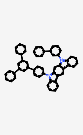 c1ccc(-c2cc(-c3ccccc3)cc(-c3ccc(-n4c5ccccc5c5cc6c7ccccc7n(-c7cccc(-c8ccccc8)c7)c6cc54)cc3)c2)cc1